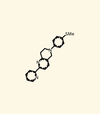 CSc1ccc(N2CCc3nc(-c4ccccn4)ccc3C2)cc1